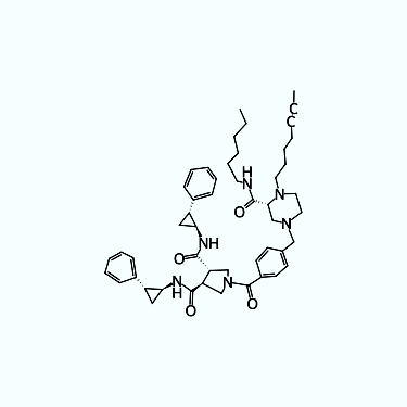 CCCCCCCN1CCN(Cc2ccc(C(=O)N3C[C@@H](C(=O)N[C@H]4C[C@@H]4c4ccccc4)[C@H](C(=O)N[C@H]4C[C@@H]4c4ccccc4)C3)cc2)C[C@@H]1C(=O)NCCCCCC